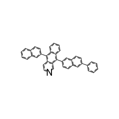 c1ccc(-c2ccc3cc(-c4c5ccccc5c(-c5ccc6ccccc6c5)c5ccncc45)ccc3c2)cc1